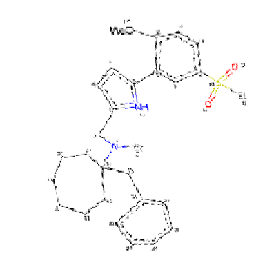 CCN(Cc1ccc(-c2cc(S(=O)(=O)CC)ccc2OC)[nH]1)C1(Cc2ccccc2)CCCCCC1